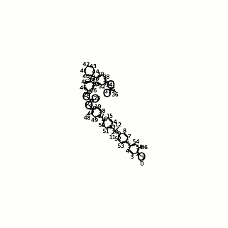 COc1ccc(-c2ccc(C(C)(C)c3ccc(-c4ccc(OC(=O)Oc5ccc(C6(c7ccc(OC(C)=O)cc7)CCCCC6)cc5)c(C)c4)cc3)cc2)cc1C